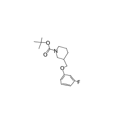 CC(C)(C)OC(=O)N1CCCC(COc2cccc(F)c2)C1